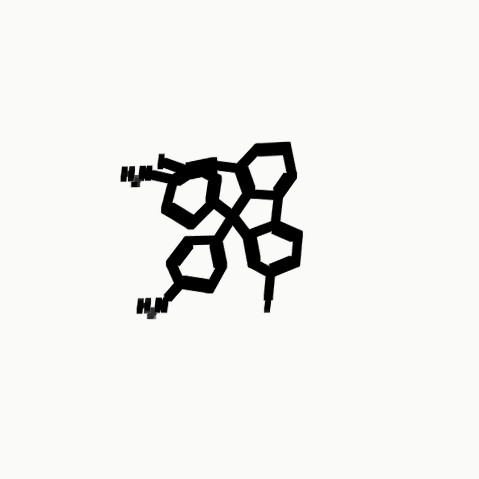 Nc1ccc(C2(c3ccc(N)cc3)c3cc(I)ccc3-c3cccc(C#CI)c32)cc1